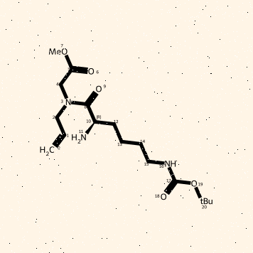 C=CCN(CC(=O)OC)C(=O)[C@H](N)CCCCNC(=O)OC(C)(C)C